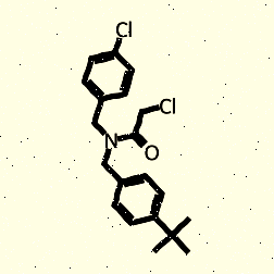 CC(C)(C)c1ccc(CN(Cc2ccc(Cl)cc2)C(=O)CCl)cc1